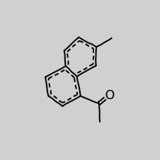 CC(=O)c1cccc2ccc(C)cc12